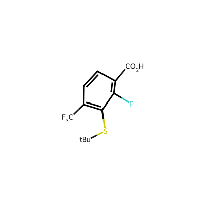 CC(C)(C)Sc1c(C(F)(F)F)ccc(C(=O)O)c1F